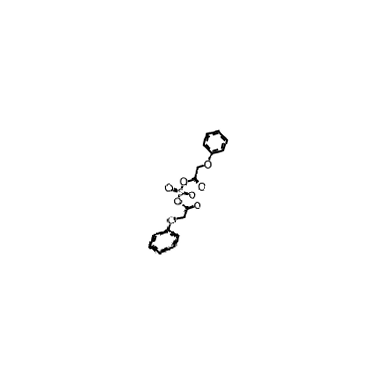 O=C(COc1ccccc1)OS(=O)(=O)OC(=O)COc1ccccc1